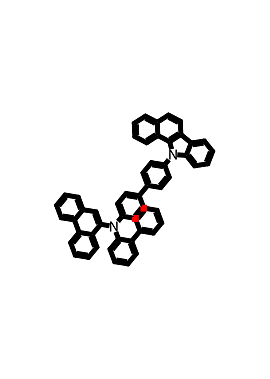 c1ccc(-c2ccccc2N(c2ccc(-c3ccc(-n4c5ccccc5c5ccc6ccccc6c54)cc3)cc2)c2cc3ccccc3c3ccccc23)cc1